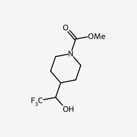 COC(=O)N1CCC(C(O)C(F)(F)F)CC1